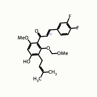 COCOc1c(CC=C(C)C)c(O)cc(OC)c1C(=O)/C=C/c1ccc(F)c(F)c1